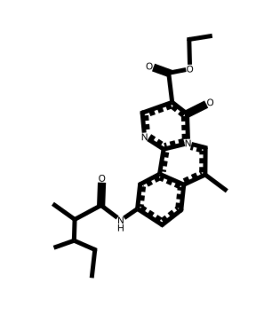 CCOC(=O)c1cnc2c3cc(NC(=O)C(C)C(C)CC)ccc3c(C)cn2c1=O